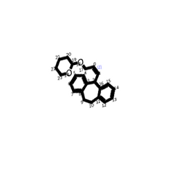 C(=C/C1c2ccccc2CCc2ccccc21)/COC1CCCCO1